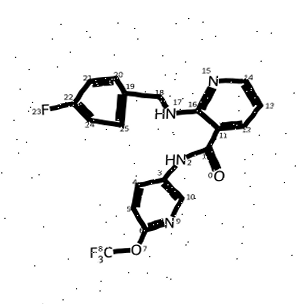 O=C(Nc1ccc(OC(F)(F)F)nc1)c1cccnc1NCc1ccc(F)cc1